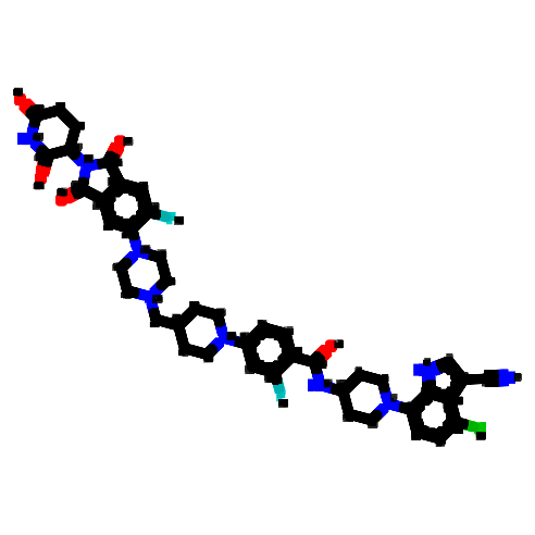 N#Cc1c[nH]c2c(N3CCC(NC(=O)c4ccc(N5CCC(CN6CCN(c7cc8c(cc7F)C(=O)N(C7CCC(=O)NC7=O)C8=O)CC6)CC5)cc4F)CC3)ccc(Cl)c12